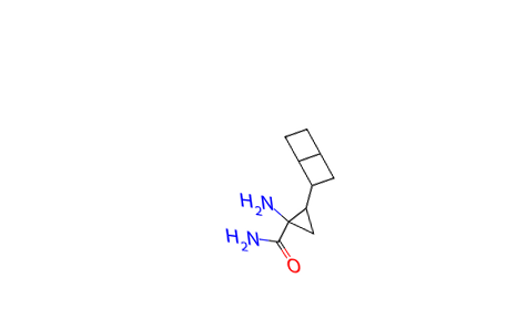 NC(=O)C1(N)CC1C1CC2CCC21